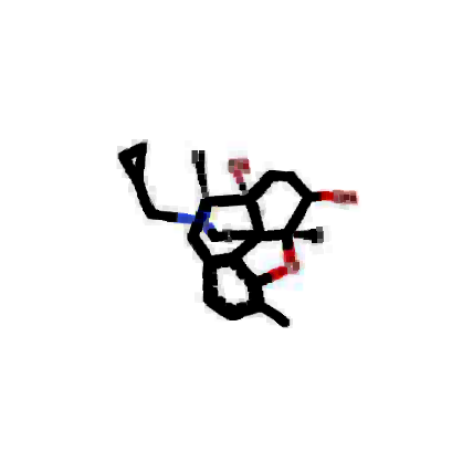 Cc1ccc2c3c1O[C@@H]1C(O)CC[C@]4(O)[C@H](C2)N(CC2CC2)CCC314